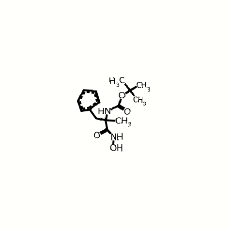 CC(C)(C)OC(=O)NC(C)(Cc1ccccc1)C(=O)NO